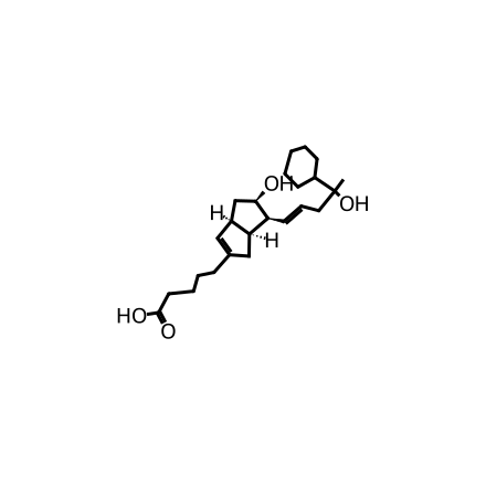 CC(O)(C/C=C/[C@H]1[C@H]2CC(CCCCC(=O)O)=C[C@H]2C[C@H]1O)C1CCCCC1